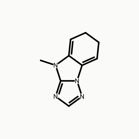 Cn1c2c(n3ncnc13)=CCCC=2